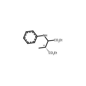 CCOC(=O)C(Nc1ccccc1)[C@@H](C)C(=O)OCC